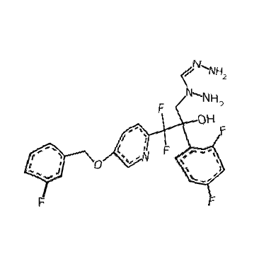 N/N=C\N(N)CC(O)(c1ccc(F)cc1F)C(F)(F)c1ccc(OCc2cccc(F)c2)cn1